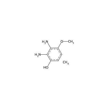 C.COc1ccc(O)c(N)c1N